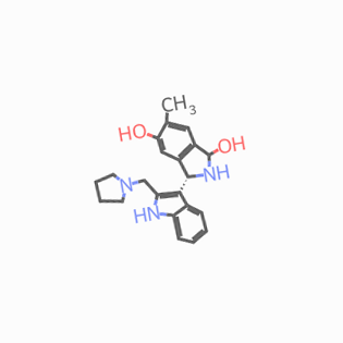 Cc1cc2c(cc1O)[C@@H](c1c(CN3CCCC3)[nH]c3ccccc13)NC2O